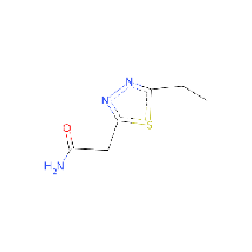 CCc1nnc(CC(N)=O)s1